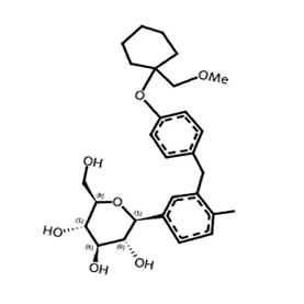 COCC1(Oc2ccc(Cc3cc([C@@H]4O[C@H](CO)[C@@H](O)[C@H](O)[C@H]4O)ccc3C)cc2)CCCCC1